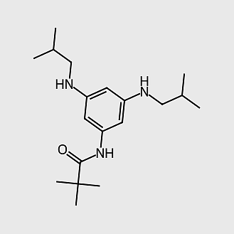 CC(C)CNc1cc(NCC(C)C)cc(NC(=O)C(C)(C)C)c1